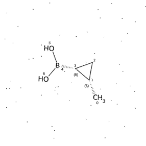 C[C@H]1C[C@H]1B(O)O